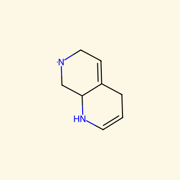 C1=CNC2C[N]CC=C2C1